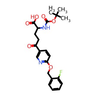 CC(C)(C)OC(=O)NC(CCC(=O)c1ccc(OCc2ccccc2F)nc1)C(=O)O